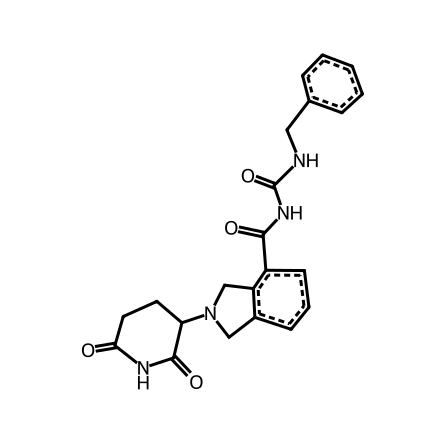 O=C1CCC(N2Cc3cccc(C(=O)NC(=O)NCc4ccccc4)c3C2)C(=O)N1